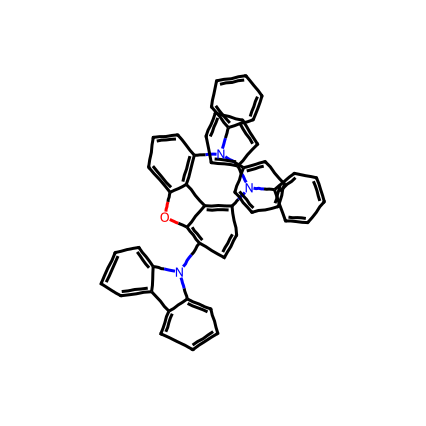 c1ccc(N(c2ccccc2)c2cccc3oc4c(-n5c6ccccc6c6ccccc65)ccc(N(c5ccccc5)c5ccccc5)c4c23)cc1